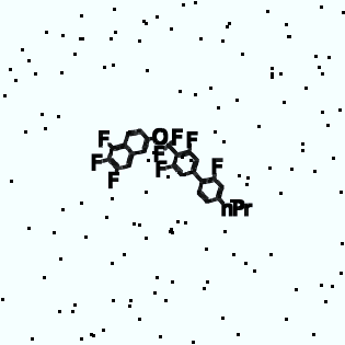 CCCc1ccc(-c2cc(F)c(C(F)(F)Oc3ccc4c(F)c(F)c(F)cc4c3)c(F)c2)c(F)c1